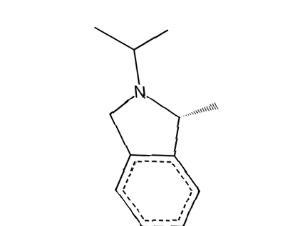 CC(C)N1Cc2ccccc2[C@H]1C